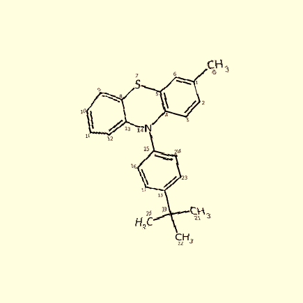 Cc1ccc2c(c1)Sc1ccccc1N2c1ccc(C(C)(C)C)cc1